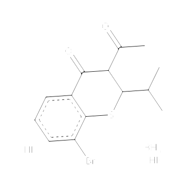 B.CC(=O)C1C(=O)c2cccc(Br)c2SC1C(C)C.F.F